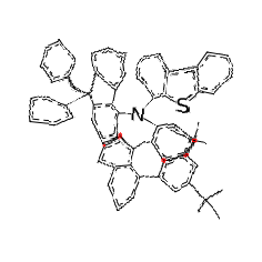 CC(C)(C)c1cc(-c2cccc3cccc(-c4ccccc4N(c4cccc5c4-c4ccccc4C5(c4ccccc4)c4ccccc4)c4cccc5c4sc4ccccc45)c23)cc(C(C)(C)C)c1